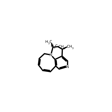 CC(C)c1cncc2c1N(C(C)C)C/C=C\C=C/2